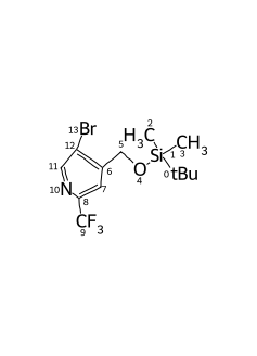 CC(C)(C)[Si](C)(C)OCc1cc(C(F)(F)F)ncc1Br